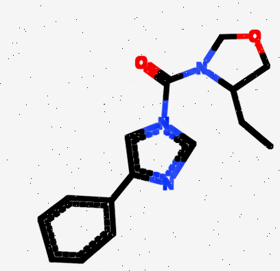 CCC1COCN1C(=O)n1cnc(-c2ccccc2)c1